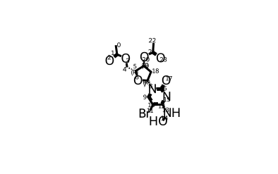 CC(=O)OC[C@H]1O[C@@H](n2cc(Br)c(NO)nc2=O)C[C@@H]1OC(C)=O